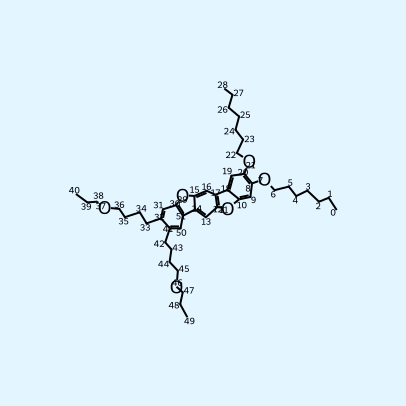 CCCCCCCOc1cc2oc3cc4c(cc3c2cc1OCCCCCCC)oc1cc(CCCCOCCC)c(CCCCOCCC)cc14